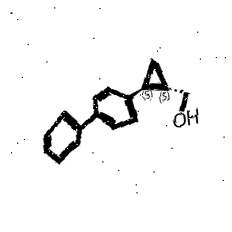 OC[C@H]1C[C@@H]1c1ccc(-c2ccccc2)cc1